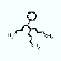 C=CC=CC(C=CC=C)=C(C=CC=C)c1ccccc1